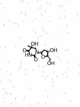 CC1(O)CN([C@H]2C[C@H](O)[C@@H](CO)O2)C(=O)NC1=O